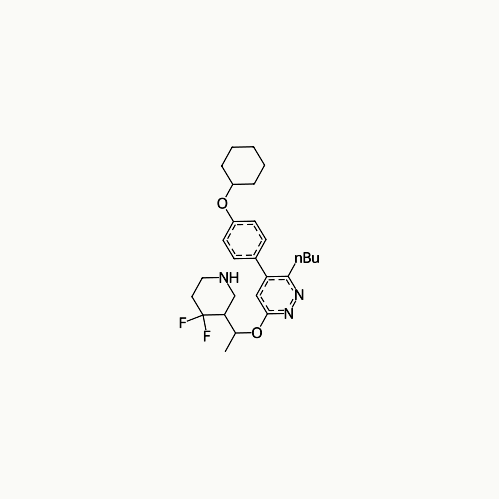 CCCCc1nnc(OC(C)C2CNCCC2(F)F)cc1-c1ccc(OC2CCCCC2)cc1